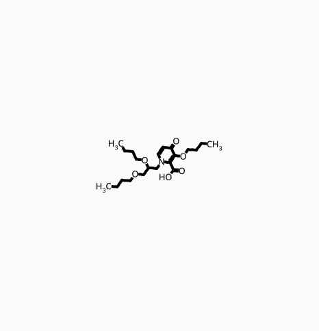 CCCCOCC(Cn1ccc(=O)c(OCCCC)c1C(=O)O)OCCCC